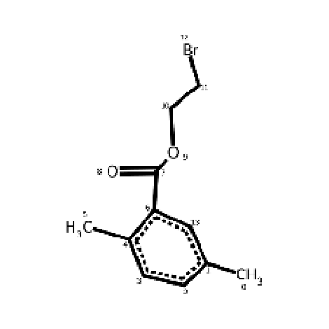 Cc1ccc(C)c(C(=O)OCCBr)c1